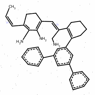 C/C=C\C1=C(N)C(N)=C(/C=C(\CN)C2=C(c3cc(-c4ccccc4)cc(-c4ccccc4)c3)CCCC2)CC1